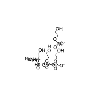 O=[PH]([O-])OCCO.O=[PH]([O-])OCCO.O=[PH]([O-])OCCO.O=[PH]([O-])OCCO.[Na+].[Na+].[Na+].[Na+]